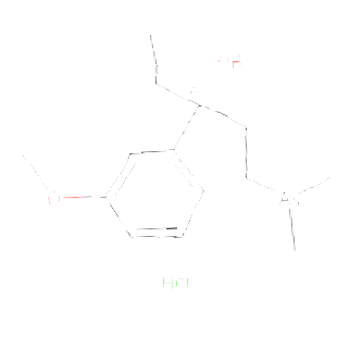 CC[C@](O)(c1cccc(OC)c1)[C@H](C)C[As](C)C.Cl